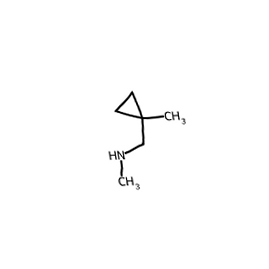 CNCC1(C)CC1